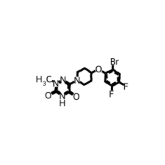 Cn1nc(N2CCC(Oc3cc(F)c(F)cc3Br)CC2)c(=O)[nH]c1=O